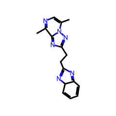 Cc1ncc(C)n2nc(CCC3=NC4C=CC=CC4=N3)nc12